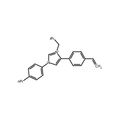 C=Cc1ccc(-c2cn(-c3ccc(CCC)cc3)c[n+]2CC(C)C)cc1